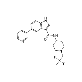 CC(F)(F)CN1CCC(NC(=O)c2n[nH]c3ccc(-c4cccnc4)cc23)CC1